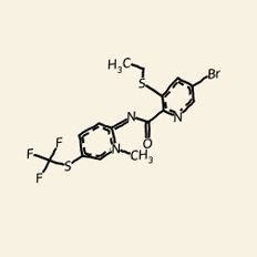 CCSc1cc(Br)cnc1C(=O)N=c1ccc(SC(F)(F)F)cn1C